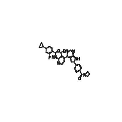 O=C(Nc1nccc(-c2ccnc3[nH]c(-c4ccc(C(=O)N5CCC5)cc4)cc23)c1CO)c1ccc(C2CC2)cc1F